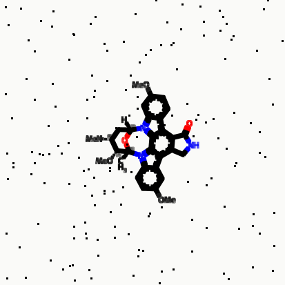 CN[C@@H]1C[C@H]2O[C@@](C)([C@@H]1OC)n1c3ccc(OC)cc3c3c4c(c5c6ccc(OC)cc6n2c5c31)C(=O)NC4